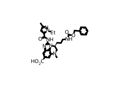 CCn1nc(C)cc1C(=O)Nc1nc2cc(C(=O)O)cc3c2n1[C@@H](CCCNC(=O)OCc1ccccc1)CN3C